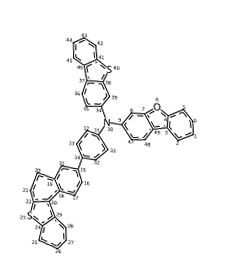 c1ccc2c(c1)oc1cc(N(c3ccc(-c4ccc5c(ccc6sc7ccccc7c65)c4)cc3)c3ccc4c(c3)sc3ccccc34)ccc12